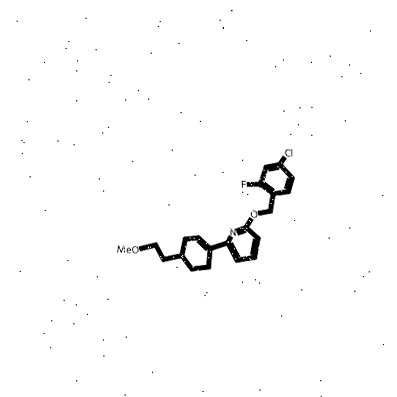 COCCC1CC=C(c2cccc(OCc3ccc(Cl)cc3F)n2)CC1